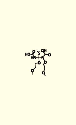 COCCON(C(=O)O)C(NC(=O)O)(OCCOC)SC